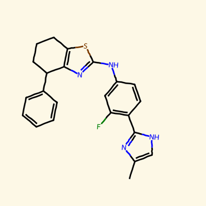 Cc1c[nH]c(-c2ccc(Nc3nc4c(s3)CCCC4c3ccccc3)cc2F)n1